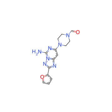 Nc1nc(N2CCN(C=O)CC2)cc2nc(-c3ccco3)nn12